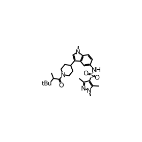 Cc1nn(C)c(C)c1S(=O)(=O)Nc1ccc2c(c1)c(C1CCN(C(=O)C(C)C(C)(C)C)CC1)cn2C